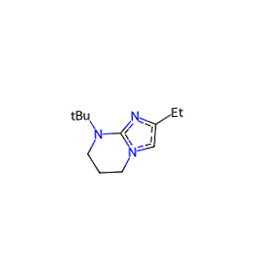 CCc1cn2c(n1)N(C(C)(C)C)CCC2